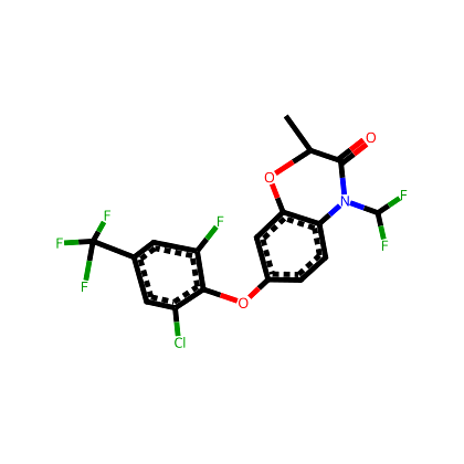 CC1Oc2cc(Oc3c(F)cc(C(F)(F)F)cc3Cl)ccc2N(C(F)F)C1=O